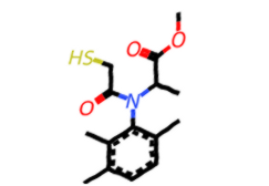 COC(=O)C(C)N(C(=O)CS)c1c(C)ccc(C)c1C